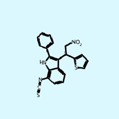 O=[N+]([O-])CC(c1cccs1)c1c(-c2ccccc2)[nH]c2c(N=C=S)cccc12